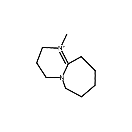 C[N+]1=C2CCCCCN2CCC1